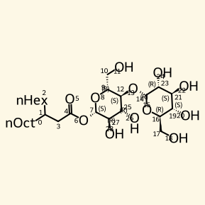 CCCCCCCCC(CCCCCC)CC(=O)O[C@@H]1O[C@H](CO)[C@@H](O[C@H]2O[C@H](CO)[C@@H](O)[C@H](O)[C@H]2O)[C@H](O)[C@H]1O